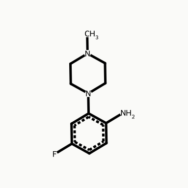 CN1CCN(c2cc(F)ccc2N)CC1